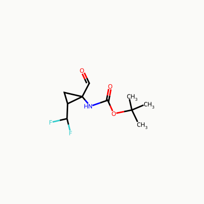 CC(C)(C)OC(=O)NC1(C=O)CC1C(F)F